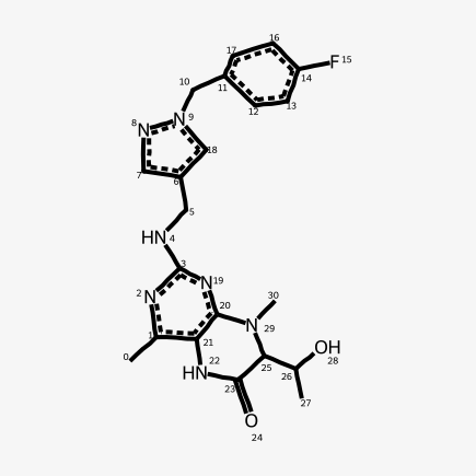 Cc1nc(NCc2cnn(Cc3ccc(F)cc3)c2)nc2c1NC(=O)C(C(C)O)N2C